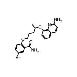 CC(=O)c1ccc(OCCCC(C)Oc2cccc3ccc(N)nc23)c(C(N)=O)c1